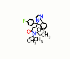 CCC(C)N(C(=O)CCC1(c2ccc(F)cc2)c2ccccc2-c2nccn21)C(C)CC